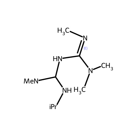 C/N=C(\NC(NC)NC(C)C)N(C)C